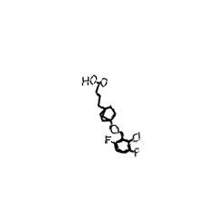 O=C(O)CCCC12CCC(OCc3c(F)ccc(F)c3Cl)(CC1)C2